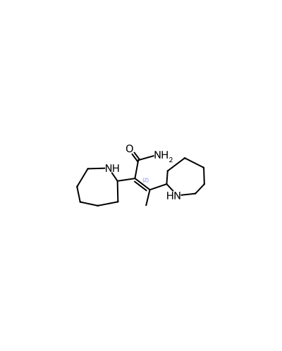 C/C(=C(/C(N)=O)C1CCCCCN1)C1CCCCCN1